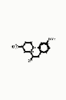 CCC(Cc1ccc(OC)cc1)N1CCCC(C(=O)O)C1